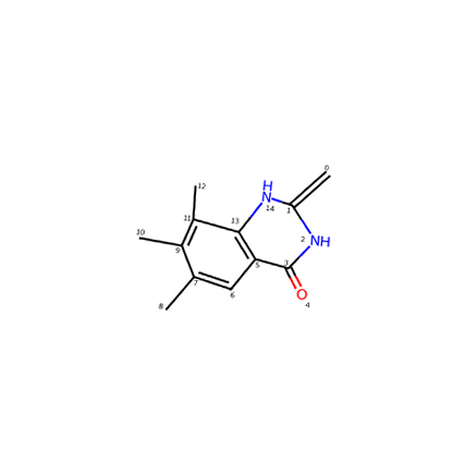 C=C1NC(=O)c2cc(C)c(C)c(C)c2N1